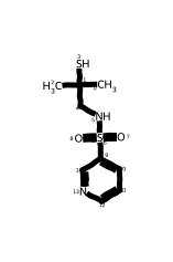 CC(C)(S)CNS(=O)(=O)c1cccnc1